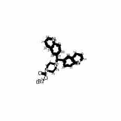 CC(C)(C)OC(=O)N1CCN(C(c2ccc3ncccc3c2)c2ccc3ncccc3c2)CC1